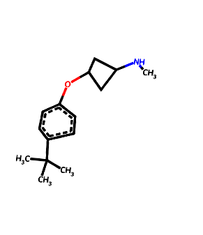 CNC1CC(Oc2ccc(C(C)(C)C)cc2)C1